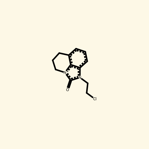 O=c1n(CCCl)c2cccc3c2n1CCC3